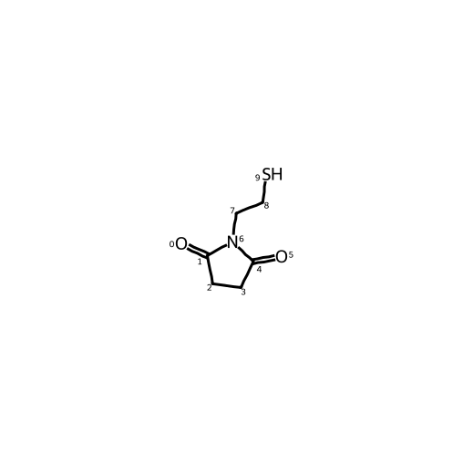 O=C1CCC(=O)N1CCS